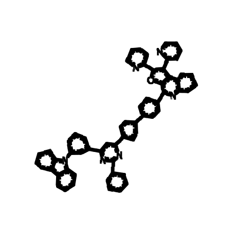 c1ccc(-c2nc(-c3ccc(-c4ccc(-c5nc6ccccc6c6c(-c7ccccn7)c(-c7ccccn7)oc56)cc4)cc3)cc(-c3cccc(-n4c5ccccc5c5ccccc54)c3)n2)cc1